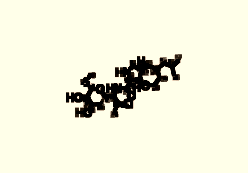 CSC1O[C@H]([C@H](NC(=O)[C@H]2NC[C@@H]3C[C@@H](CC(C)C)CCO[C@H]32)[C@H](C)Cl)CC(O)[C@H]1O